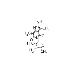 CC(=O)C(C)C(C)Cn1c(=O)c2c(nc(C(F)F)n2C)n(C)c1=O